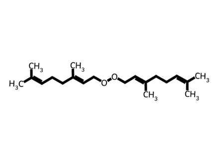 CC(C)=CCC/C(C)=C/COOC/C=C(\C)CCC=C(C)C